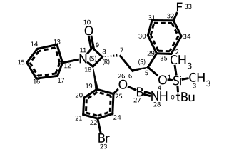 CC(C)(C)[Si](C)(C)O[C@@H](CC[C@H]1C(=O)N(c2ccccc2)[C@@H]1c1ccc(Br)cc1OB=N)c1ccc(F)cc1